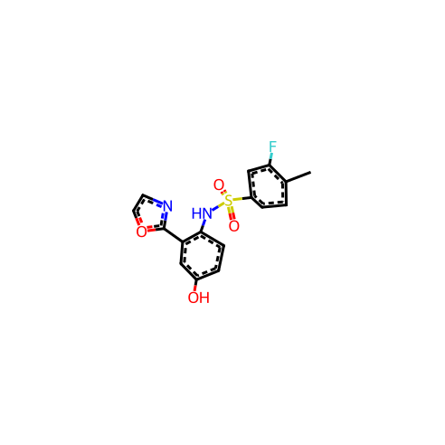 Cc1ccc(S(=O)(=O)Nc2ccc(O)cc2-c2ncco2)cc1F